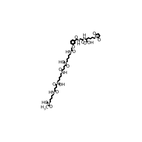 CC(=O)N(O)CCCCCNC(=O)CCC(=O)N(O)CCCCCNC(=O)CCC(=O)N(O)CCCCCNC(=O)COc1cccc(C(=O)NCC(=O)NC(CCCCN2C(=O)C=CC2=O)C(=O)O)c1